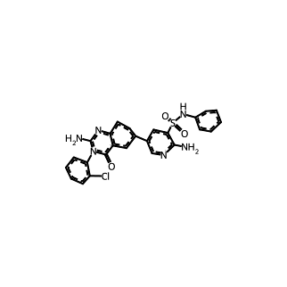 Nc1ncc(-c2ccc3nc(N)n(-c4ccccc4Cl)c(=O)c3c2)cc1S(=O)(=O)Nc1ccccc1